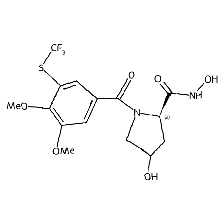 COc1cc(C(=O)N2CC(O)C[C@@H]2C(=O)NO)cc(SC(F)(F)F)c1OC